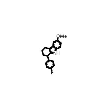 COc1ccc2[nH]c3c(c2c1)CCCC3c1ccc(F)cc1